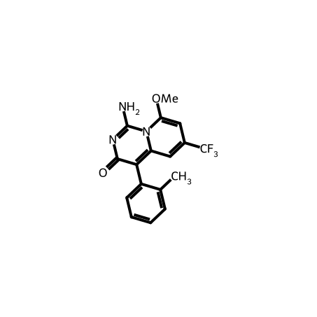 COc1cc(C(F)(F)F)cc2c(-c3ccccc3C)c(=O)nc(N)n12